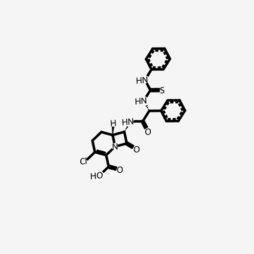 O=C(O)C1=C(Cl)CC[C@@H]2[C@H](NC(=O)[C@H](NC(=S)Nc3ccccc3)c3ccccc3)C(=O)N12